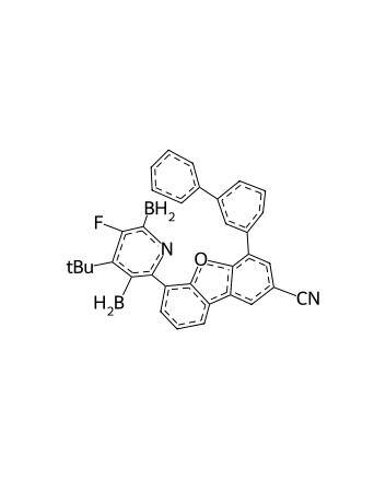 Bc1nc(-c2cccc3c2oc2c(-c4cccc(-c5ccccc5)c4)cc(C#N)cc23)c(B)c(C(C)(C)C)c1F